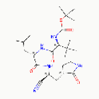 CC(C)C[C@H](NC(=O)[C@@H](NC(=O)OC(C)(C)C)C(C)(C)C)C(=O)N[C@H](C#N)C[C@@H]1CCNC1=O